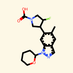 Cc1cc2cnn(C3CCCCO3)c2cc1C1CN(C(=O)O)CC1F